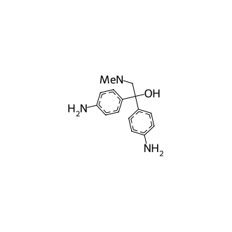 CNCC(O)(c1ccc(N)cc1)c1ccc(N)cc1